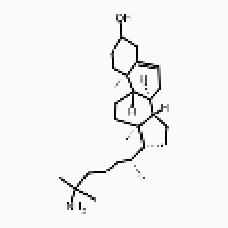 C[C@H](CCCC(C)(C)N)[C@H]1CC[C@H]2[C@@H]3CC=C4CC(O)CC[C@]4(C)[C@H]3CC[C@]12C